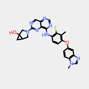 Cc1c(Oc2ccc3c(c2)ncn3C)ccc(Nc2ncnc3cnc(N4CC5CC5(O)C4)nc23)c1F